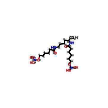 O=C(CCCCCON(O)O)NCCCCC(NC(=O)CCCCCON(O)O)C(=O)O